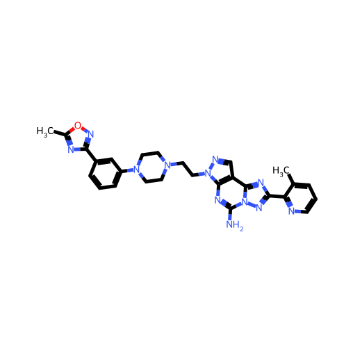 Cc1nc(-c2cccc(N3CCN(CCn4ncc5c4nc(N)n4nc(-c6ncccc6C)nc54)CC3)c2)no1